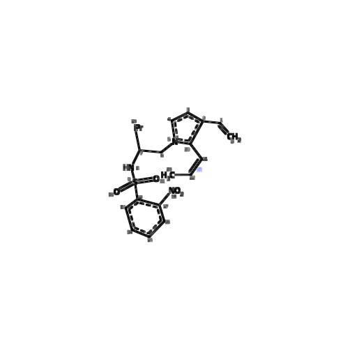 C=Cc1ccn(CC(NS(=O)(=O)c2ccccc2[N+](=O)[O-])C(C)C)c1/C=C\C